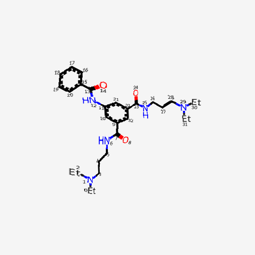 CCN(CC)CCCNC(=O)c1cc(NC(=O)c2ccccc2)cc(C(=O)NCCCN(CC)CC)c1